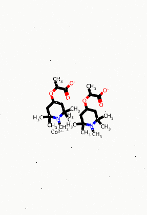 CC(OC1CC(C)(C)N(C)C(C)(C)C1)C(=O)[O-].CC(OC1CC(C)(C)N(C)C(C)(C)C1)C(=O)[O-].[Co+2]